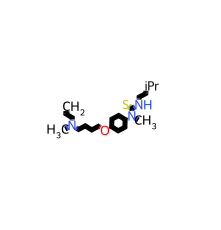 C=CCN(C)CCCCO[C@H]1CC[C@H](N(C)C(=S)NCCC(C)C)CC1